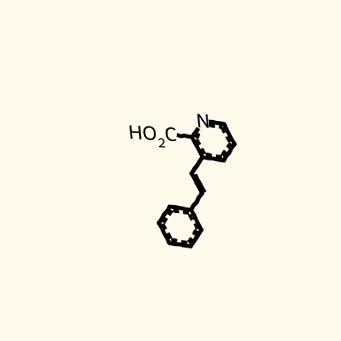 O=C(O)c1ncccc1/C=C/c1ccccc1